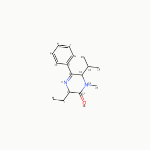 CCC1N=C(c2ccccc2)C(C(C)C)N(C)C1=O